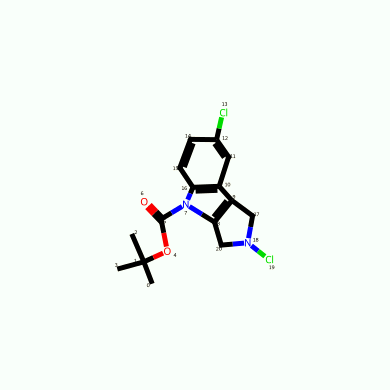 CC(C)(C)OC(=O)n1c2c(c3cc(Cl)ccc31)CN(Cl)C2